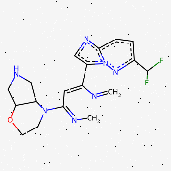 C=N/C(=C\C(=N/C)N1CCOC2CNCC21)c1cnc2ccc(C(F)F)nn12